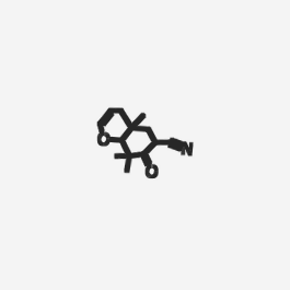 CC12CC=COC1C(C)(C)C(=O)C(C#N)C2